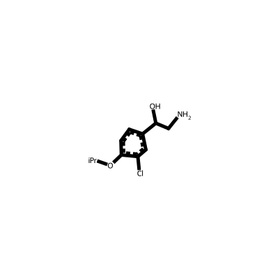 CC(C)Oc1ccc(C(O)CN)cc1Cl